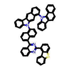 c1cc(-n2c3ccccc3c3ccc4ccccc4c32)c2cc3c(cc2c1)c1ccccc1n3-c1cccc2c(-c3nc(-c4cccc5sc6ccccc6c45)nc4ccccc34)cccc12